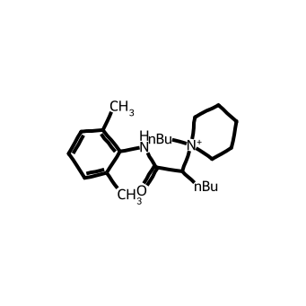 CCCCC(C(=O)Nc1c(C)cccc1C)[N+]1(CCCC)CCCCC1